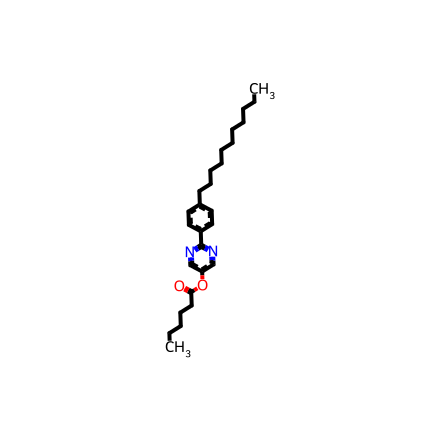 CCCCCCCCCCCc1ccc(-c2ncc(OC(=O)CCCCC)cn2)cc1